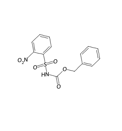 O=C(NS(=O)(=O)c1ccccc1[N+](=O)[O-])OCc1ccccc1